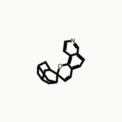 C1=CC2(Oc3c1ccc1cnccc31)C1CC3CC(C1)CC2C3